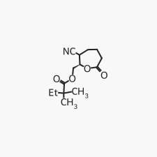 CCC(C)(C)C(=O)OC[C@@H]1OC(=O)CCCC1C#N